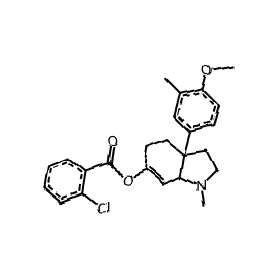 COc1ccc(C23CCC(OC(=O)c4ccccc4Cl)=CC2N(C)CC3)cc1C